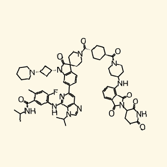 Cc1cc(F)c(Nc2nc(-c3ccc4c(c3)N([C@H]3C[C@@H](N5CCCCC5)C3)C(=O)C43CCN(C(=O)[C@H]4CC[C@H](C(=O)N5CCC(Nc6cccc7c6C(=O)N(C6CCC(=O)NC6=O)C7=O)CC5)CC4)CC3)cc3ncn(C(C)C)c23)cc1C(=O)NC(C)C